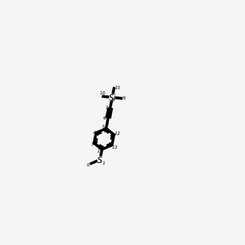 CSc1ccc(C#C[Si](C)(C)C)cc1